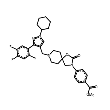 COC(=O)c1ccc(N2CC3(CCN(Cc4cn(C5CCCCC5)nc4-c4cc(F)c(F)cc4F)CC3)OC2=O)cc1